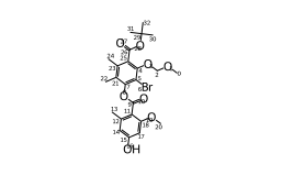 COCOc1c(Br)c(OC(=O)c2c(C)cc(O)cc2OC)c(C)c(C)c1C(=O)OC(C)(C)C